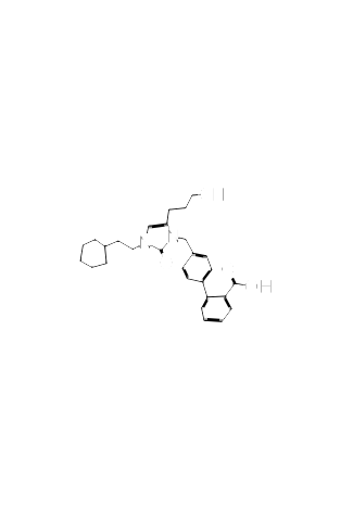 CCCCc1cn(CCC2CCCCC2)c(=O)n1Cc1ccc(-c2ccccc2C(=O)O)cc1